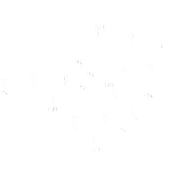 N#Cc1cnc2c(Cl)cc(NC(c3cccnc3)c3cn([C@@H]4CCNC4)nn3)cc2c1Nc1ccc(F)c(Cl)c1